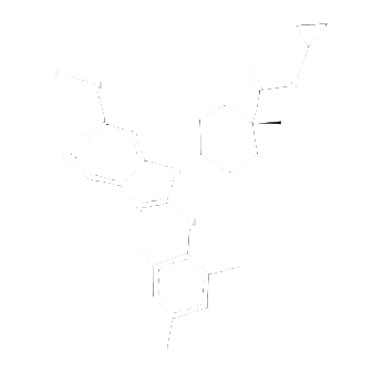 C=C(/N=C1\C(=C/N)N=C(Nc2c(F)cc(F)cc2F)N1[C@H]1CC[C@@](O)(C(=O)NC2CC2)CC1)NC(C)C